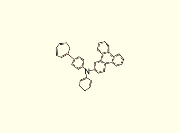 C1=CC=C(c2ccc(N(C3=CCCC=C3)c3ccc4c5ccccc5c5ccccc5c4c3)cc2)CC=C1